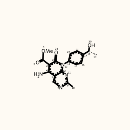 COC(=O)c1c(N)c2cnc(C)nc2n(-c2ccc([C@@H](C)O)cc2)c1=O